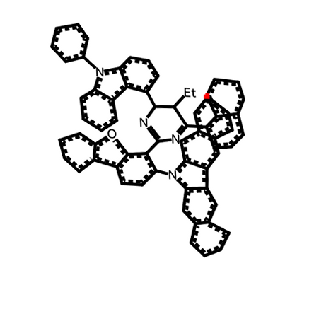 CCC1C(c2cccc3ccccc23)=NC(c2c(-n3c4cc5ccccc5cc4c4cc5ccccc5cc43)ccc3c2oc2ccccc23)=NC1c1cccc2c1c1ccccc1n2-c1ccccc1